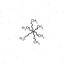 C=CC[Si](CC=C)(CCCCC)[Si](CC=C)(CCCCC)CCCCC